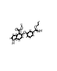 CCOC(=N)c1cccc(Oc2ccc3[nH]ccc3c2C(=O)OC)c1